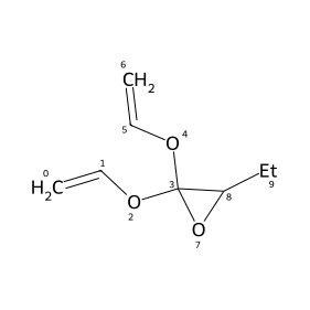 C=COC1(OC=C)OC1CC